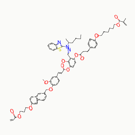 C=CC(=O)OCCCOc1ccc2cc(COc3ccc(/C=C/C(=O)Oc4ccc(OC(=O)CCc5ccc(OCCCCCCOC(=O)C(=C)C)cc5)c(/C=N/N(c5nc6ccccc6s5)C(C)CCCC)c4OC)cc3OC)ccc2c1